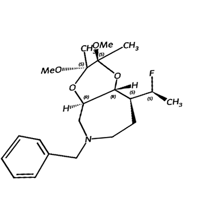 CO[C@@]1(C)O[C@@H]2[C@@H]([C@H](C)F)CCN(Cc3ccccc3)C[C@H]2O[C@]1(C)OC